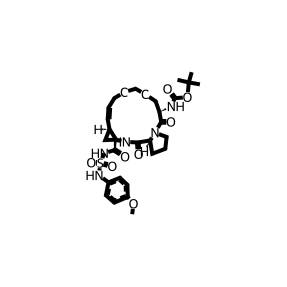 COc1ccc(NS(=O)(=O)NC(=O)[C@@]23C[C@H]2/C=C\CCCCC[C@H](NC(=O)OC(C)(C)C)C(=O)N2CCC[C@H]2C(=O)N3)cc1